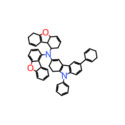 C1=CC(c2ccc3c(c2)c2c(n3-c3ccccc3)CCC(N(c3cccc4oc5ccccc5c34)C3CC=CC4OC5=C(C=CCC5)C43)=C2)=CCC1